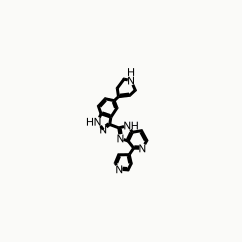 C1=C(c2ccc3[nH]nc(-c4nc5c(-c6ccncc6)nccc5[nH]4)c3c2)CCNC1